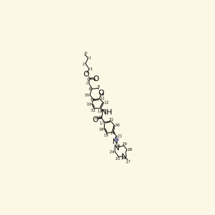 CCCCOC(=O)CC1COc2cc(NC(=O)c3ccc(/C=N/N4CCN(C)CC4)cc3)ccc2C1